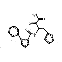 NC(=O)C(=O)C(Cc1cccs1)NC(=O)c1cncn1-c1ccccc1